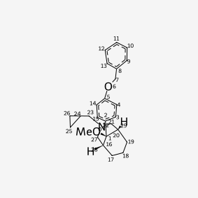 CO[C@]1(c2ccc(OCc3ccccc3)cc2)[C@@H]2CCC[C@H]1CN(CC1CC1)C2